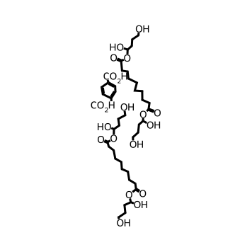 O=C(CCCCCCCCC(=O)OC(O)CCCO)OC(O)CCCO.O=C(CCCCCCCCC(=O)OC(O)CCCO)OC(O)CCCO.O=C(O)c1ccc(C(=O)O)cc1